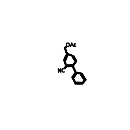 CC(=O)OCc1ccc(-c2ccccc2)c(C#N)c1